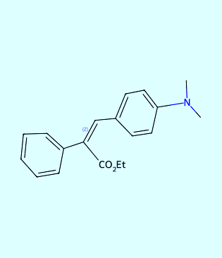 CCOC(=O)/C(=C\c1ccc(N(C)C)cc1)c1ccccc1